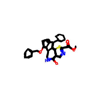 COC(=O)C1=NCC2=C(S1)C1=C(C3CCCCC3)C3=CC=C(OCc4ccccc4)C3C1=CNC2=O